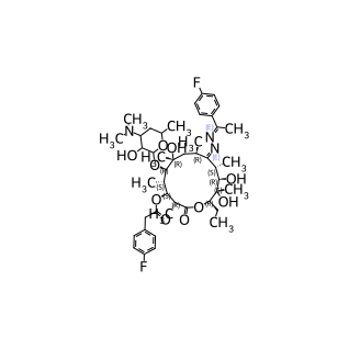 CC[C@H]1OC(=O)[C@H](C)[C@@H](OC(=O)Cc2ccc(F)cc2)[C@H](C)[C@@H](OC2OC(C)CC(N(C)C)C2O)[C@](C)(O)C[C@@H](C)/C(=N\N=C(/C)c2ccc(F)cc2)[C@H](C)[C@@H](O)[C@]1(C)O